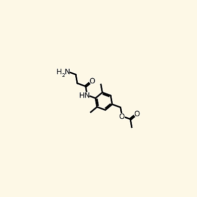 CC(=O)OCc1cc(C)c(NC(=O)CCN)c(C)c1